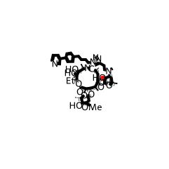 CC[C@H]1OC(=O)[C@H](C)[C@@H](O[C@H]2C[C@@](C)(OC)[C@@H](O)[C@H](C)O2)[C@H](C)[C@@H](O[C@@H]2O[C@H](C)C[C@H](N(C)CCc3cn(CCCCc4ccc(-c5cccnc5)cc4)nn3)[C@H]2O)[C@](C)(O)C[C@@H](C)CN(C)[C@H](C)[C@@H](O)[C@]1(C)O